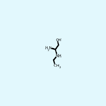 CCNC(N)CO